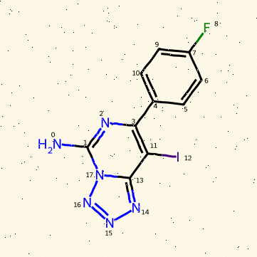 Nc1nc(-c2ccc(F)cc2)c(I)c2nnnn12